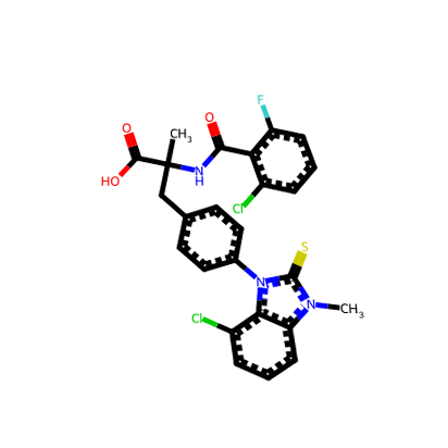 Cn1c(=S)n(-c2ccc(CC(C)(NC(=O)c3c(F)cccc3Cl)C(=O)O)cc2)c2c(Cl)cccc21